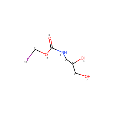 O=C(NCC(O)CO)OCI